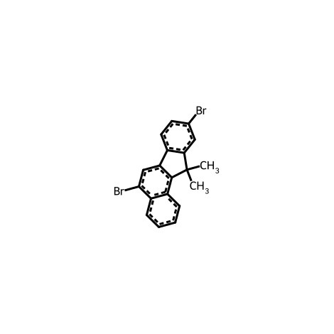 CC1(C)c2cc(Br)ccc2-c2cc(Br)c3ccccc3c21